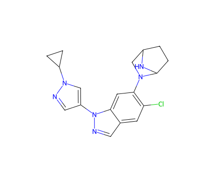 Clc1cc2cnn(-c3cnn(C4CC4)c3)c2cc1N1CC2CCC1N2